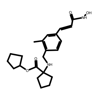 Cc1cc(C=CC(=O)NO)ccc1CNC1(C(=O)OC2CCCC2)CCCC1